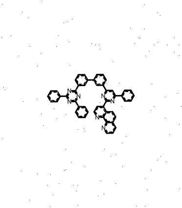 c1ccc(-c2cc(-c3cccc(-c4cccc(-c5nc(-c6ccccc6)nc(-c6ccccc6)n5)c4)c3)nc(-c3ccnc4c3ccc3cccnc34)n2)cc1